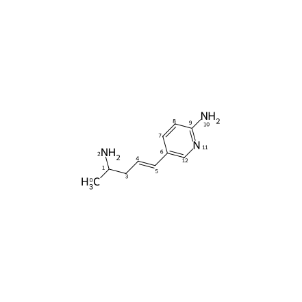 CC(N)CC=Cc1ccc(N)nc1